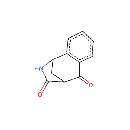 O=C1NC2CC1C(=O)c1ccccc12